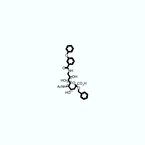 CC(=O)N[C@H]1[C@H]([C@H](O)[C@H](O)CNC(=O)c2cccc(Oc3ccccc3)c2)O[C@](OCc2ccccc2)(C(=O)O)C[C@@H]1O